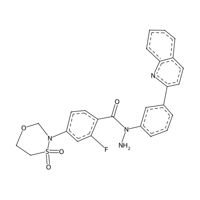 NN(C(=O)c1ccc(N2COCCS2(=O)=O)cc1F)c1cccc(-c2ccc3ccccc3n2)c1